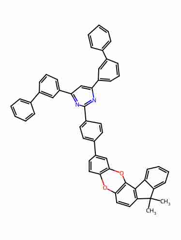 CC1(C)c2ccccc2-c2c1ccc1c2Oc2cc(-c3ccc(-c4nc(-c5cccc(-c6ccccc6)c5)cc(-c5cccc(-c6ccccc6)c5)n4)cc3)ccc2O1